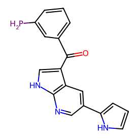 O=C(c1cccc(P)c1)c1c[nH]c2ncc(-c3ccc[nH]3)cc12